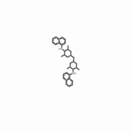 CC1CC(CC2CC(C)C(Nc3cccc4ccccc34)C(C)C2)CC(C)C1Nc1cccc2ccccc12